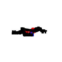 CCC(CC(O)CCCCCCCNC(=O)OC1CC[C@@]2(C)C(=CCC3C2CC[C@@]2(C)C3CC[C@@H]2[C@H](C)CCCC(C)C)C1)OC(c1ccccc1)(c1ccc(OC)cc1)c1ccc(OC)cc1